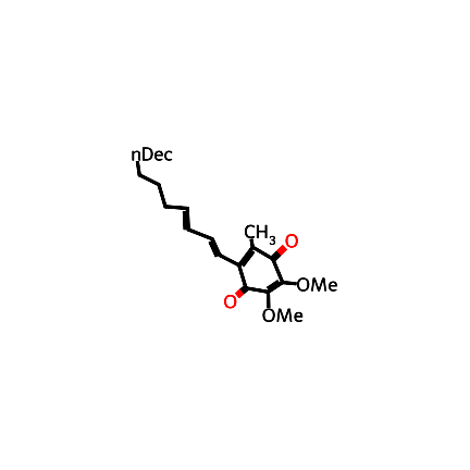 CCCCCCCCCCCCCC=CC=CC1=C(C)C(=O)C(OC)=C(OC)C1=O